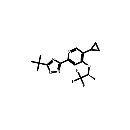 C[C@H](Oc1cc(-c2noc(C(C)(C)C)n2)ncc1C1CC1)C(F)(F)F